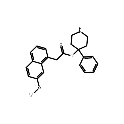 COc1ccc2cccc(CC(=O)OC3(c4ccccc4)CCNCC3)c2c1